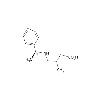 CC(CN[C@@H](C)c1ccccc1)CC(=O)O